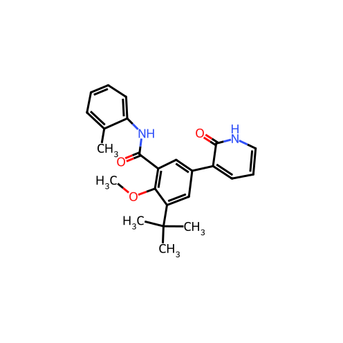 COc1c(C(=O)Nc2ccccc2C)cc(-c2ccc[nH]c2=O)cc1C(C)(C)C